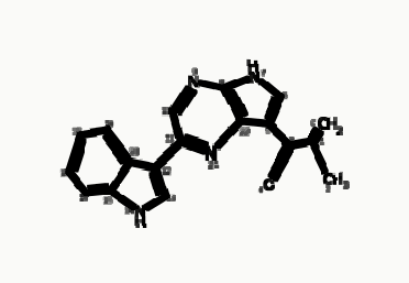 C=C(C)C(=O)c1c[nH]c2ncc(-c3c[nH]c4ccccc34)nc12